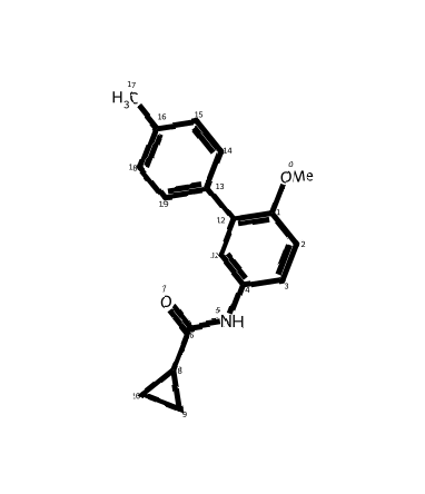 COc1ccc(NC(=O)C2CC2)cc1-c1ccc(C)cc1